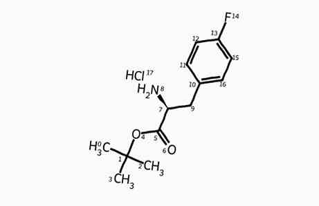 CC(C)(C)OC(=O)[C@@H](N)Cc1ccc(F)cc1.Cl